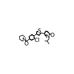 CC(C)Cn1cc(-c2cc(-c3ccc(C(=O)N4CCCCC4)cc3Cl)cs2)ccc1=O